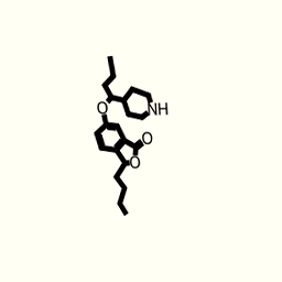 CCCCC1OC(=O)c2cc(OC(CCC)C3CCNCC3)ccc21